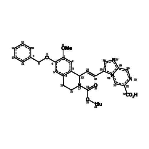 COc1cc2c(cc1OCc1ccccc1)CCN(C(=O)OC(C)(C)C)C2/C=C/c1cnc2cnc(C(=O)O)cn12